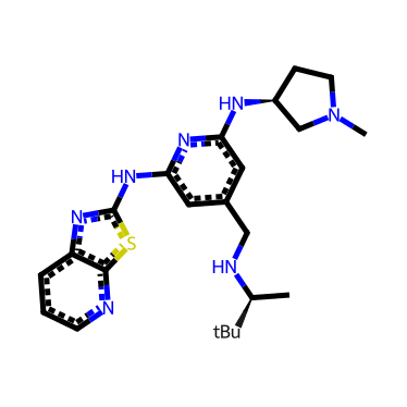 C[C@H](NCc1cc(Nc2nc3cccnc3s2)nc(N[C@H]2CCN(C)C2)c1)C(C)(C)C